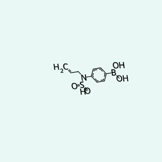 C=CCN(c1ccc(B(O)O)cc1)[SH](=O)=O